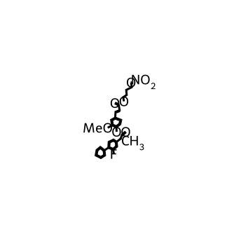 COc1cc(/C=C/C(=O)OCCCCO[N+](=O)[O-])ccc1OC(=O)[C@H](C)c1ccc(-c2ccccc2)c(F)c1